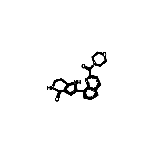 O=C1NCCc2[nH]c(-c3cccc4ccc(C(=O)N5CCOCC5)nc34)cc21